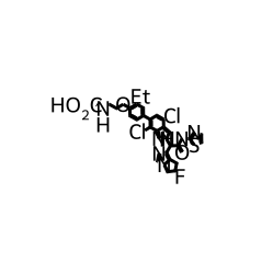 CCc1cc(-c2cc(Cl)c3cn(C(C(=O)Nc4nccs4)c4ncn5c4C[C@@H](F)C5)nc3c2Cl)ccc1OCCNC(=O)O